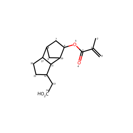 C=C(C)C(=O)OC1CC2CC1C1C(CC(=O)O)CCC21